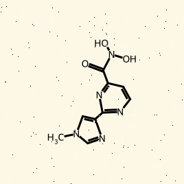 Cn1cnc(-c2nccc(C(=O)N(O)O)n2)c1